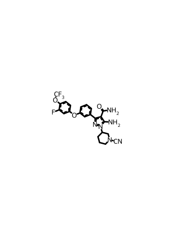 N#CN1CCCC(n2nc(-c3cccc(Oc4ccc(OC(F)(F)F)c(F)c4)c3)c(C(N)=O)c2N)C1